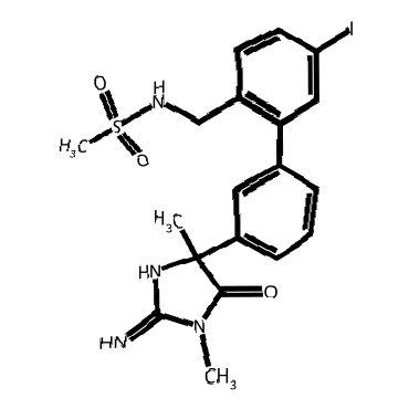 CN1C(=N)NC(C)(c2cccc(-c3cc(I)ccc3CNS(C)(=O)=O)c2)C1=O